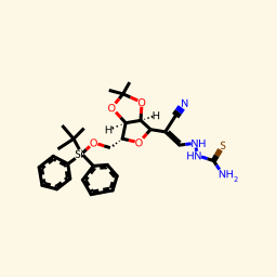 CC1(C)O[C@@H]2[C@@H](CO[Si](c3ccccc3)(c3ccccc3)C(C)(C)C)OC(C(C#N)=CNNC(N)=S)[C@@H]2O1